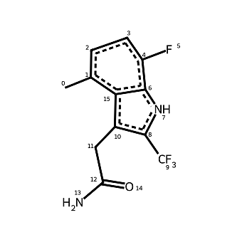 Cc1ccc(F)c2[nH]c(C(F)(F)F)c(CC(N)=O)c12